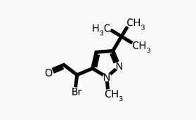 Cn1nc(C(C)(C)C)cc1C(Br)C=O